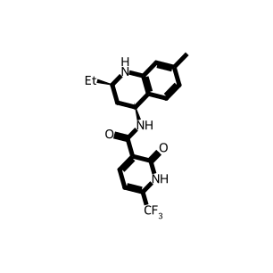 CC[C@@H]1C[C@H](NC(=O)c2ccc(C(F)(F)F)[nH]c2=O)c2ccc(C)cc2N1